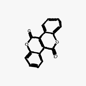 O=c1oc2ccccc2c2c(=O)oc3ccccc3c12